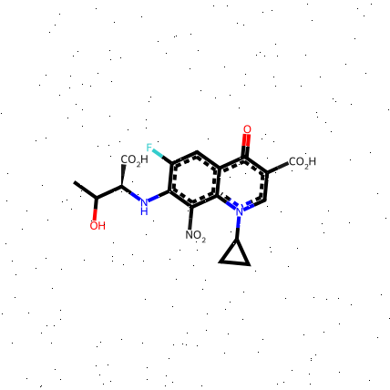 CC(O)[C@H](Nc1c(F)cc2c(=O)c(C(=O)O)cn(C3CC3)c2c1[N+](=O)[O-])C(=O)O